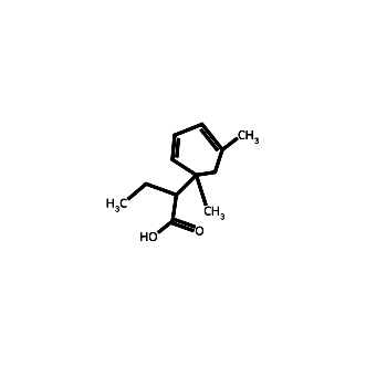 CCC(C(=O)O)C1(C)C=CC=C(C)C1